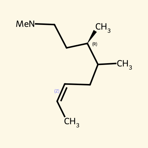 C/C=C\CC(C)[C@H](C)CCNC